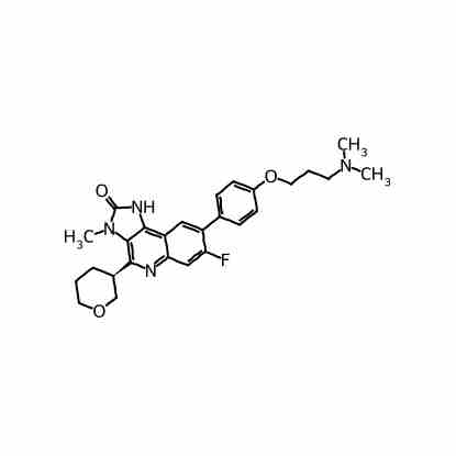 CN(C)CCCOc1ccc(-c2cc3c(cc2F)nc([C@@H]2CCCOC2)c2c3[nH]c(=O)n2C)cc1